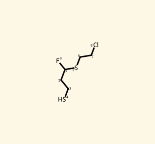 FC(CCS)SCCCl